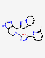 Cc1cccc(-c2nnc(N3CCc4[nH]cnc4C3c3cc4ccccn4n3)o2)n1